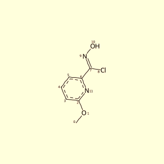 COc1cccc(/C(Cl)=N/O)n1